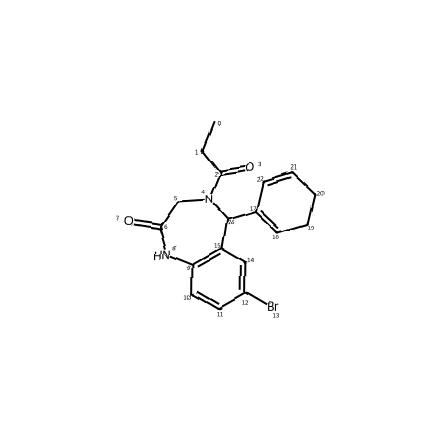 CCC(=O)N1CC(=O)Nc2ccc(Br)cc2C1C1=CCCC=C1